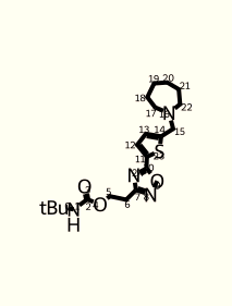 CC(C)(C)NC(=O)OCCc1noc(-c2ccc(CN3CCCCCC3)s2)n1